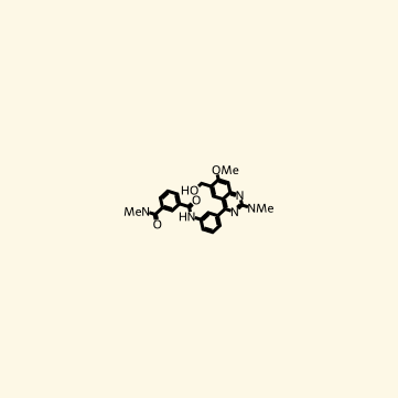 CNC(=O)c1cccc(C(=O)Nc2cccc(-c3nc(NC)nc4cc(OC)c(CO)cc34)c2)c1